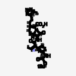 C/C=C(\C(=O)NC1C(=O)N2C(C(=O)O)=C(CSc3nnnn3C)CS[C@@H]12)c1csc(NC(=O)OC(C)(C)C)n1